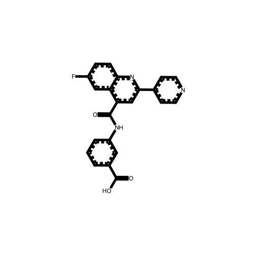 O=C(O)c1cccc(NC(=O)c2cc(-c3ccncc3)nc3ccc(F)cc23)c1